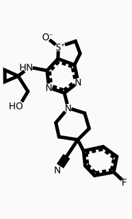 N#CC1(c2ccc(F)cc2)CCN(c2nc3c(c(NC4(CO)CC4)n2)[S+]([O-])CC3)CC1